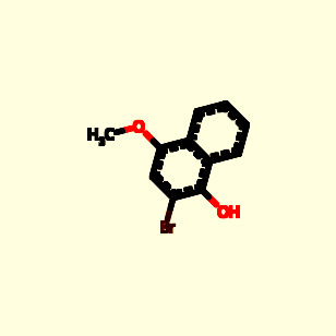 COc1cc(Br)c(O)c2ccccc12